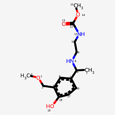 COCc1cc(C(C)NCCNC(=O)OC)ccc1O